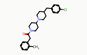 Cc1ccccc1CC(=O)N1CCC(N2CCC(Cc3ccc(Cl)cc3)CC2)CC1